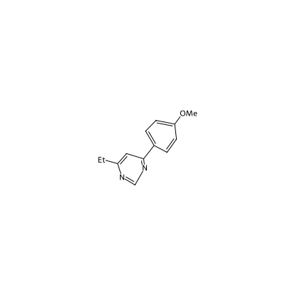 CCc1cc(-c2ccc(OC)cc2)ncn1